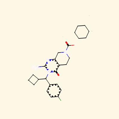 Nc1nc2c(c(=O)n1C(c1ccc(F)cc1)C1CCC1)CCN(C(=O)O[C@H]1CC[C@@H](C(F)(F)F)CC1)C2